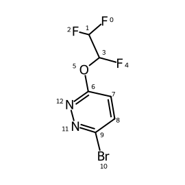 FC(F)C(F)Oc1ccc(Br)nn1